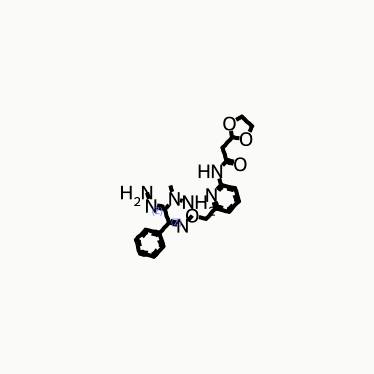 CN(N)C(=N\N)/C(=N\OCc1cccc(NC(=O)CC2OCCO2)n1)c1ccccc1